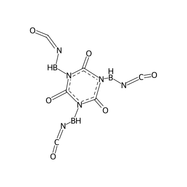 O=C=NBn1c(=O)n(BN=C=O)c(=O)n(BN=C=O)c1=O